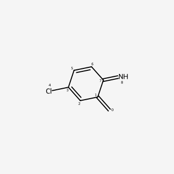 C=C1C=C(Cl)C=CC1=N